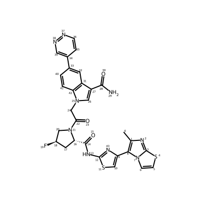 Cc1nc2sccn2c1-c1csc(NC(=O)[C@@H]2C[C@@H](F)CN2C(=O)Cn2cc(C(N)=O)c3cc(-c4ccnnc4)ccc32)n1